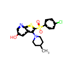 CC1CCN(c2c(S(=O)(=O)c3ccc(Cl)cc3)sc3ncc(O)cc23)CC1